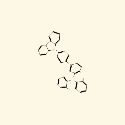 C1=CC2c3ccccc3N(c3ccc(-c4ccc5c(c4)B4c6ccccc6Oc6cccc(c64)O5)cc3)C2C=C1